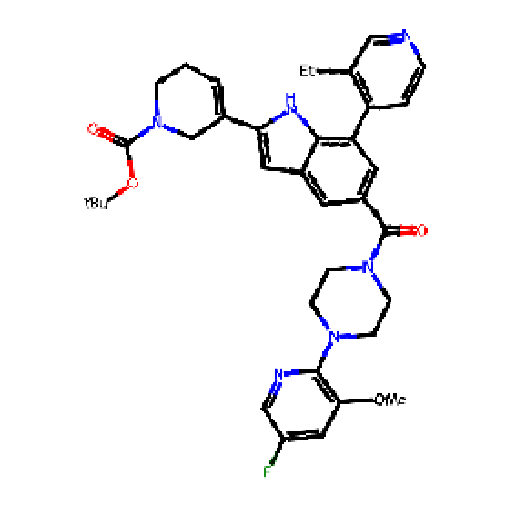 CCc1cnccc1-c1cc(C(=O)N2CCN(c3ncc(F)cc3OC)CC2)cc2cc(C3=CCCN(C(=O)OC(C)(C)C)C3)[nH]c12